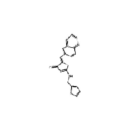 O=C1N=C(NCc2ccco2)S/C1=C\c1ccc2ncccc2c1